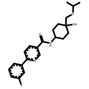 CC(C)OCC1(O)CCC(NC(=O)c2ccc(-c3cccc(F)c3)nc2)CC1